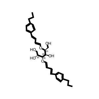 CCCc1ccc(C=CC=CO[C@@H]([C@H](O)[C@H](CO)OC=CC=Cc2ccc(CCC)cc2)[C@H](O)CO)cc1